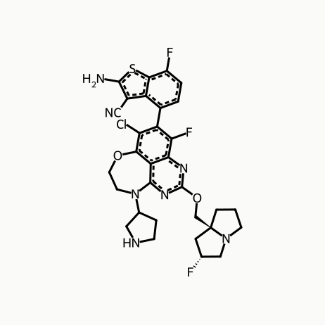 N#Cc1c(N)sc2c(F)ccc(-c3c(Cl)c4c5c(nc(OC[C@@]67CCCN6C[C@H](F)C7)nc5c3F)N(C3CCNC3)CCO4)c12